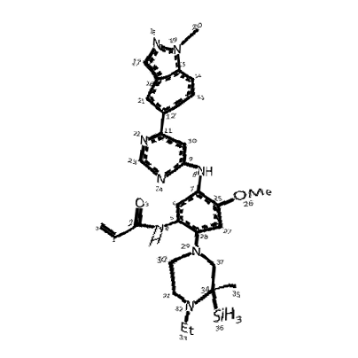 C=CC(=O)Nc1cc(Nc2cc(-c3ccc4c(cnn4C)c3)ncn2)c(OC)cc1N1CCN(CC)[C@@](C)([SiH3])C1